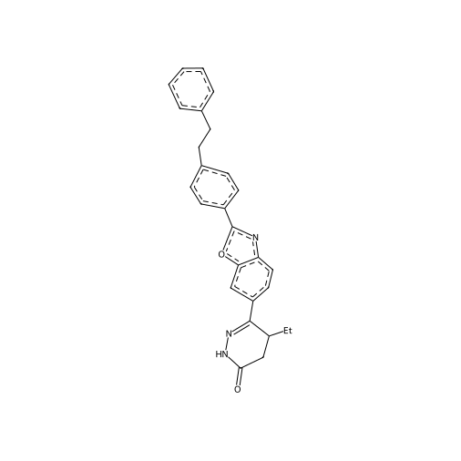 CCC1CC(=O)NN=C1c1ccc2nc(-c3ccc(CCc4ccccc4)cc3)oc2c1